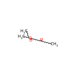 CCCCCCCCCCC(=O)CCCCCCCCC(=O)OCC(CCCC)CCCCCC